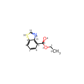 CCOC(=O)c1cccc2scnc12